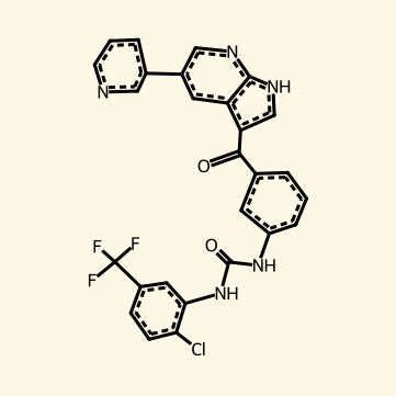 O=C(Nc1cccc(C(=O)c2c[nH]c3ncc(-c4cccnc4)cc23)c1)Nc1cc(C(F)(F)F)ccc1Cl